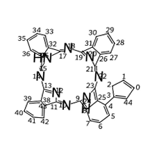 C1=CCC(c2cccc3c4nc5nc(nc6[nH]c(nc7nc(nc([nH]4)c23)-c2ccccc2-7)c2ccccc62)-c2ccccc2-5)=C1